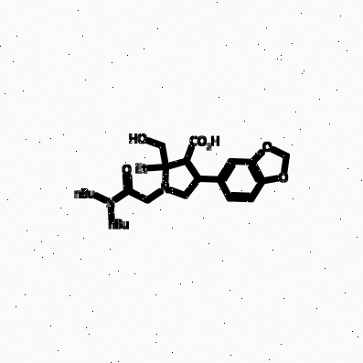 CCCCN(CCCC)C(=O)CN1CC(c2ccc3c(c2)OCO3)C(C(=O)O)C1(CC)CO